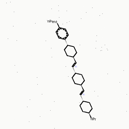 CCCCCc1ccc([C@H]2CC[C@H](/C=C/[C@H]3CC[C@H](/C=C/[C@H]4CC[C@H](CCC)CC4)CC3)CC2)cc1